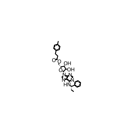 CC[C@H](Nc1ncnc2c1ncn2[C@@H]1O[C@H](COC(=O)CCc2ccc(C)cc2)[C@H](O)C1O)c1ccccc1